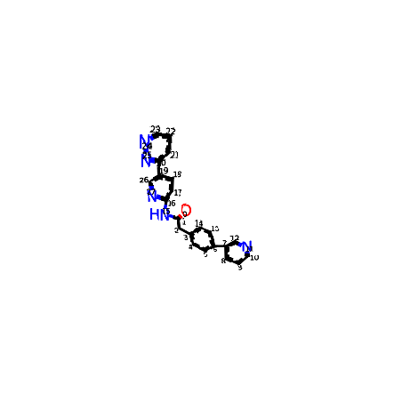 O=C(Cc1ccc(-c2cccnc2)cc1)Nc1ccc(-c2cccnn2)cn1